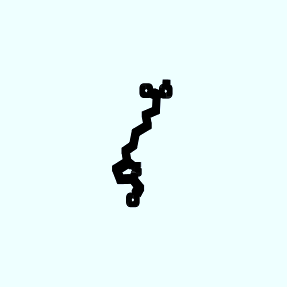 COC(=O)CCCCCCc1ccc(C=O)s1